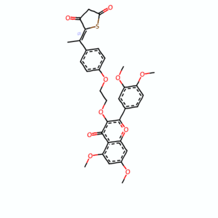 COc1cc(OC)c2c(=O)c(OCCOc3ccc(/C(C)=C4\SC(=O)CC4=O)cc3)c(-c3ccc(OC)c(OC)c3)oc2c1